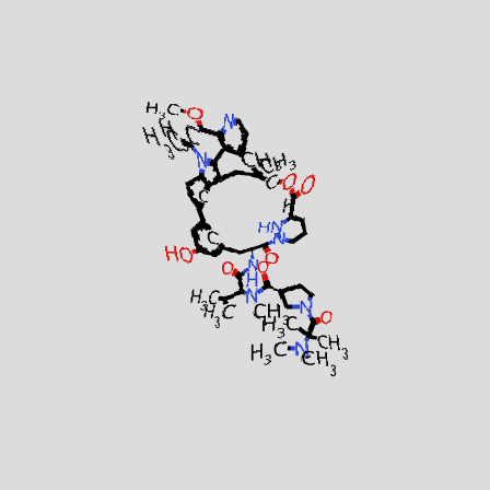 CCn1c(-c2cccnc2[C@H](C)OC)c2c3cc(ccc31)-c1cc(O)cc(c1)C[C@H](NC(=O)C(C(C)C)N(C)C(=O)[C@H]1CCN(C(=O)C(C)(C)N(C)C)C1)C(=O)N1CCC[C@H](N1)C(=O)OCC(C)(C)C2